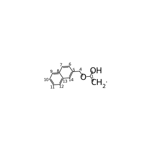 [CH2]C(O)OCc1ccc2ccccc2c1